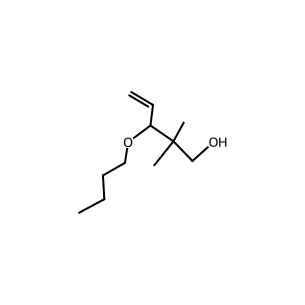 C=CC(OCCCC)C(C)(C)CO